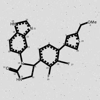 COCc1cc(-c2ccc(C3CNC(=O)N3c3ccc4[nH]cnc4c3)c(F)c2F)cs1